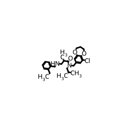 CCc1ccccc1CNCC(C)C(=O)N(Cc1cc(Cl)c2c(c1)OCCCO2)CC(C)C